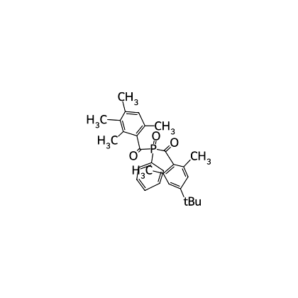 Cc1cc(C)c(C(=O)P(=O)(C(=O)c2c(C)cc(C(C)(C)C)cc2C)c2ccccc2)c(C)c1C